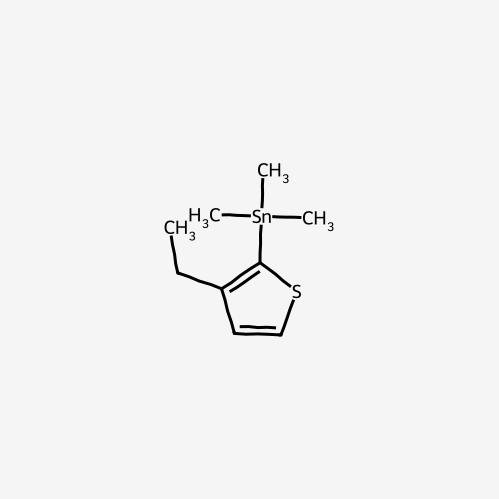 CCc1ccs[c]1[Sn]([CH3])([CH3])[CH3]